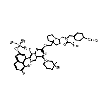 CCc1c(F)ccc2cc(O[Si](C(C)C)(C(C)C)C(C)C)cc(-c3ncc4c(N5CCC[C@@](C)(O)C5)nc(OC[C@@]56CCCN5[C@H](CN(CC5CCC(C=O)CC5)C(=O)OC(C)(C)C)CC6)nc4c3F)c12